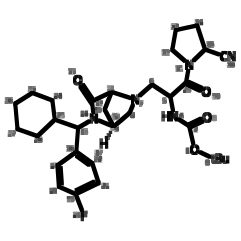 CC(C)(C)OC(=O)NC(CN1C[C@@H]2CC1C(=O)N2C(c1ccc(F)cc1)C1CCCCC1)C(=O)N1CCCC1C#N